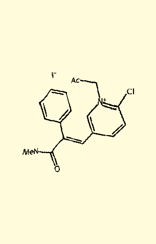 CNC(=O)C(=Cc1ccc(Cl)[n+](CC(C)=O)c1)c1ccccc1.[I-]